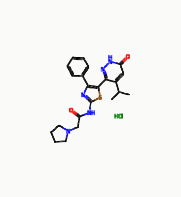 CC(C)c1cc(=O)[nH]nc1-c1sc(NC(=O)CN2CCCC2)nc1-c1ccccc1.Cl